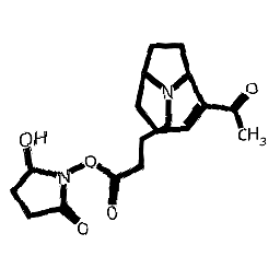 CC(=O)C1=CCCC2CCC1N2CCCC(=O)ON1C(=O)CCC1O